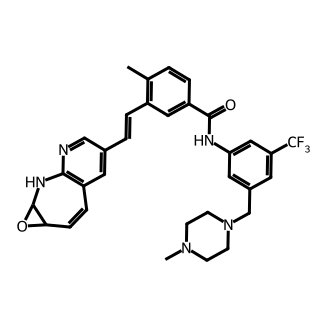 Cc1ccc(C(=O)Nc2cc(CN3CCN(C)CC3)cc(C(F)(F)F)c2)cc1/C=C/c1cnc2c(c1)C=CC1OC1N2